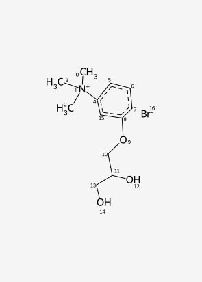 C[N+](C)(C)c1cccc(OCC(O)CO)c1.[Br-]